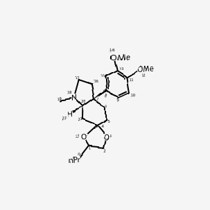 CCCC1COC2(CC[C@@]3(c4ccc(OC)c(OC)c4)CCN(C)[C@H]3C2)O1